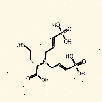 O=C(O)[C@H](CCS)N(CC=CP(=O)(O)O)CC=CP(=O)(O)O